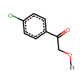 CCO[CH]C(=O)c1ccc(Cl)cc1